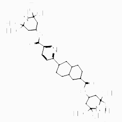 CC1(C)CC(OC(=O)c2ccc(C3CCC4CC(C(=O)OC5CC(C)(C)NC(C)(C)C5)CCC4C3)nc2)CC(C)(C)N1